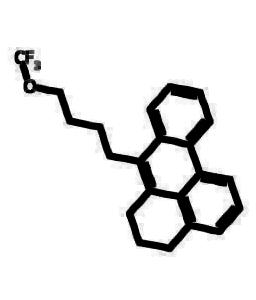 FC(F)(F)OCCCCc1c2c3c(cccc3c3ccccc13)CCC2